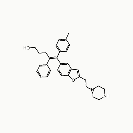 Cc1ccc(/C(=C(\CCCO)c2ccccc2)c2ccc3oc(CCN4CCNCC4)cc3c2)cc1